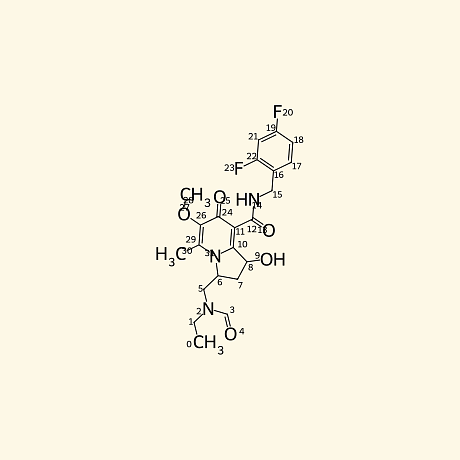 CCN(C=O)CC1CC(O)c2c(C(=O)NCc3ccc(F)cc3F)c(=O)c(OC)c(C)n21